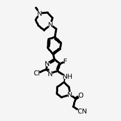 CN1CCCN(Cc2ccc(-c3nc(Cl)nc(N[C@@H]4CCCN(C(=O)CC#N)C4)c3F)cc2)CC1